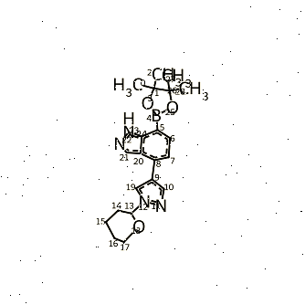 CC1(C)OB(c2ccc(-c3cnn(C4CCCCO4)c3)c3cn[nH]c23)OC1(C)C